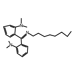 CCCCCCCCN=C(c1ccccc1N(C)C)c1ccccc1N(C)C